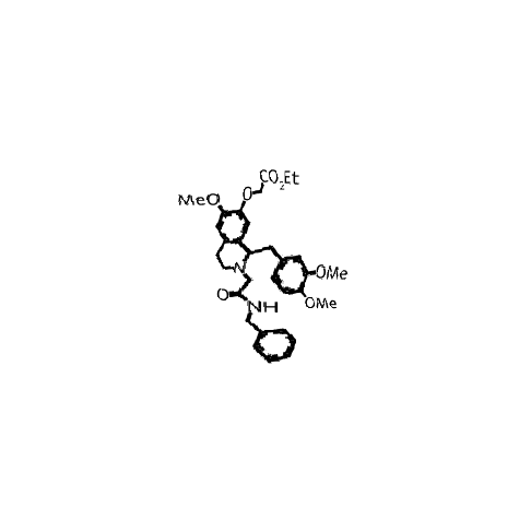 CCOC(=O)COc1cc2c(cc1OC)CCN(CC(=O)NCc1ccccc1)C2Cc1ccc(OC)c(OC)c1